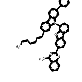 C\C=C/C=C\C=C\c1ccc2c3ccc(-c4ccccc4)cc3n(-c3cccc4c3oc3cc(-c5nc(C)c6ccccc6n5)ccc34)c2c1